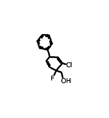 OCC1(F)C=CC(c2ccccc2)C=C1Cl